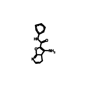 NC1=C(C(=O)Nc2ccccc2)OC2=NC=CCC21